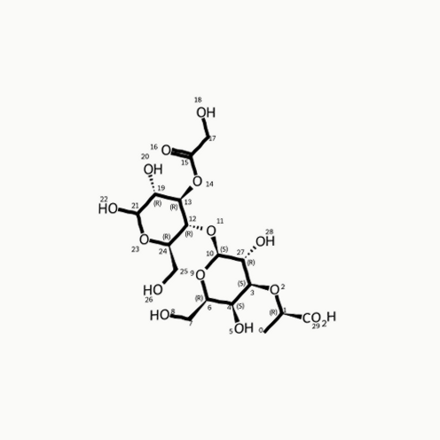 C[C@@H](O[C@H]1[C@@H](O)[C@@H](CO)O[C@@H](O[C@H]2[C@H](OC(=O)CO)[C@@H](O)C(O)O[C@@H]2CO)[C@@H]1O)C(=O)O